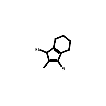 CCC1=C(C)C(CC)C2=C1CCCC2